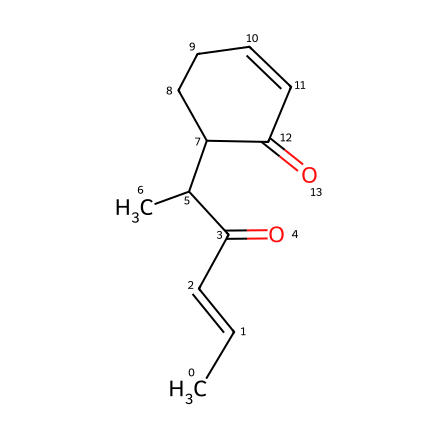 C/C=C/C(=O)C(C)C1CCC=CC1=O